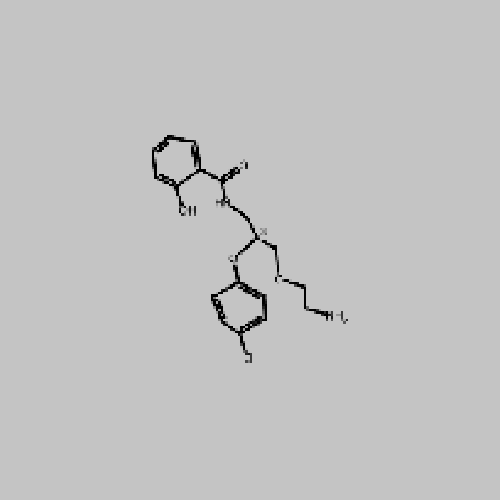 NCCOC[C@H](CNC(=O)c1ccccc1O)Oc1ccc(Cl)cc1